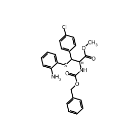 COC(=O)[C@@H](NC(=O)OCc1ccccc1)C(Sc1ccccc1N)c1ccc(Cl)cc1